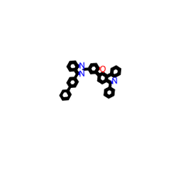 C1=CCCC(c2ccc(-c3nc(-c4ccc5oc6c(ccc7c(-c8ccccc8)nc8ccccc8c76)c5c4)nc4ccccc34)cc2)=C1